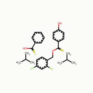 CC(C)C.CC(C)C.OC(=S)c1ccccc1.Oc1ccc(C(=S)OCc2ccc(F)cc2F)cc1